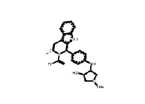 C=C(CC)N1C(c2ccc(NC3CN(CCCC)CC3O)cc2)c2[nH]c3ccccc3c2C[C@H]1C